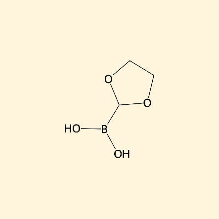 OB(O)C1OCCO1